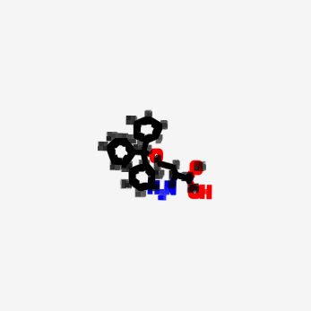 NC(CCOC(c1ccccc1)(c1ccccc1)c1ccccc1)C(=O)O